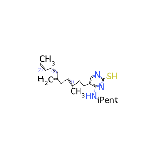 C=C(/C=C\C=C/C)C/C=C(\C)CCc1cnc(S)nc1NC(C)CCC